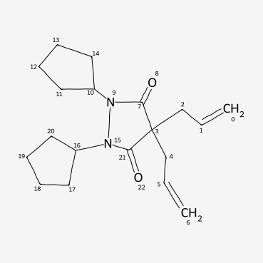 C=CCC1(CC=C)C(=O)N(C2CCCC2)N(C2CCCC2)C1=O